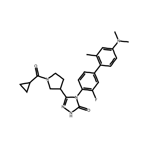 Cc1cc(N(C)C)ccc1-c1ccc(-n2c(C3CCN(C(=O)C4CC4)C3)n[nH]c2=O)c(F)c1